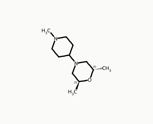 C[C@H]1CN(C2CCN(C)CC2)C[C@H](C)O1